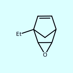 CCC12C=CC(C1)C1OC12